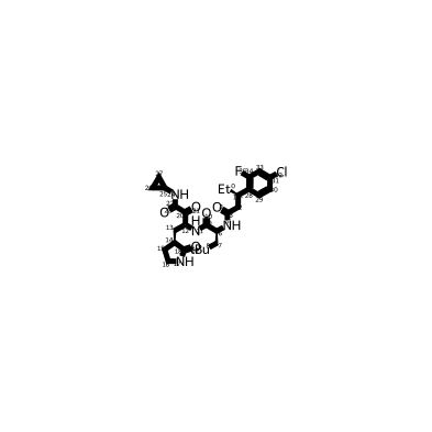 CC[C@H](CC(=O)N[C@@H](CC(C)(C)C)C(=O)NC(C[C@@H]1CCNC1=O)C(=O)C(=O)NC1CC1)c1ccc(Cl)cc1F